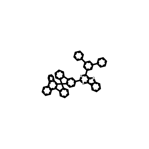 c1ccc(-c2cc(-c3ccccc3)cc(-c3nc(-c4ccc5c(c4)-c4ccccc4C54c5ccccc5-c5c4c4ccccc4c4ccccc54)nc4c3oc3ccccc34)c2)cc1